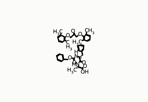 C[C@H](NC(=O)[C@H](Cc1ccccc1)NC(=O)OCc1ccccc1)C(=O)O.Cc1cccc(C)c1OCC(=O)COc1c(C)cccc1C